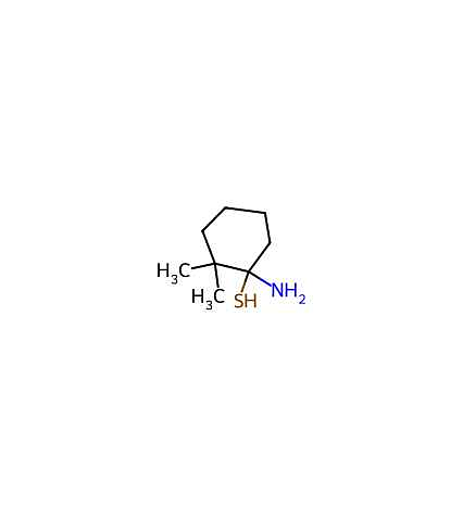 CC1(C)CCCCC1(N)S